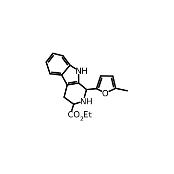 CCOC(=O)C1Cc2c([nH]c3ccccc23)C(c2ccc(C)o2)N1